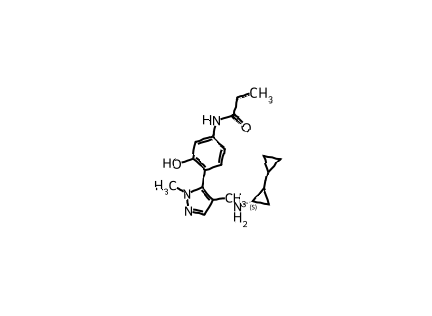 CCC(=O)Nc1ccc(-c2c(C)cnn2C)c(O)c1.N[C@H]1CC1C1CC1